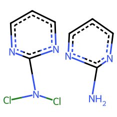 ClN(Cl)c1ncccn1.Nc1ncccn1